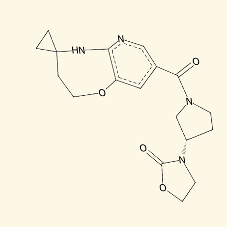 O=C(c1cnc2c(c1)OCCC1(CC1)N2)N1CC[C@H](N2CCOC2=O)C1